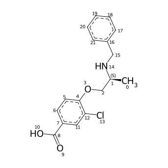 C[C@@H](COc1ccc(C(=O)O)cc1Cl)NCc1ccccc1